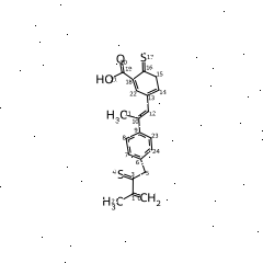 C=C(C)C(=S)Cc1ccc(/C(C)=C/C2=CCC(=S)C(C(=O)O)=C2)cc1